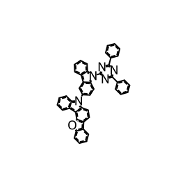 c1ccc(-c2nc(-c3ccccc3)nc(-n3c4ccccc4c4cc(-n5c6ccccc6c6c7oc8ccccc8c7ccc65)ccc43)n2)cc1